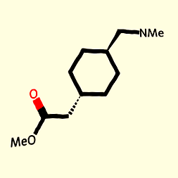 CNC[C@H]1CC[C@H](CC(=O)OC)CC1